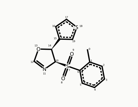 Cc1ccccc1S(=O)(=O)[C@H]1N=CO[C@H]1c1ccsc1